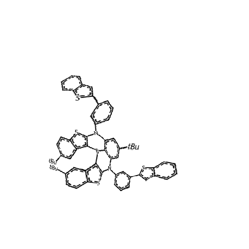 CC(C)(C)c1cc2c3c(c1)N(c1cccc(-c4cc5ccccc5s4)c1)c1sc4ccc(C(C)(C)C)cc4c1B3c1c(sc3ccc(C(C)(C)C)cc13)N2c1cccc(-c2cc3ccccc3s2)c1